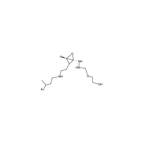 CC(=O)C(C)CCNCCC1[C@@H]2O[C@@]12NNCOCCO